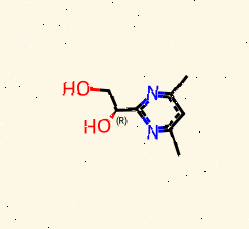 Cc1cc(C)nc([C@@H](O)CO)n1